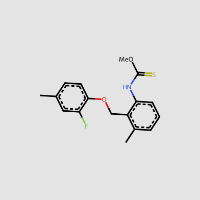 COC(=S)Nc1cccc(C)c1COc1ccc(C)cc1F